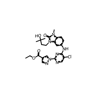 CCOC(=O)c1cnn(-c2ncc(Cl)c(Nc3ccc4c(c3)n(CCC(C)(C)O)c(=O)n4C)n2)c1